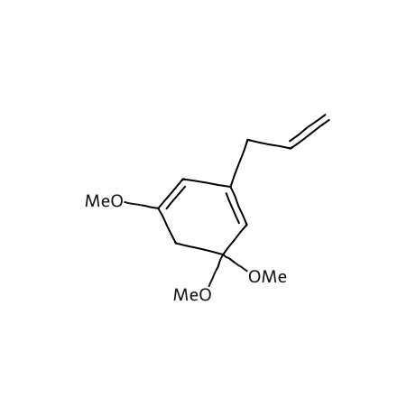 C=CCC1=CC(OC)(OC)CC(OC)=C1